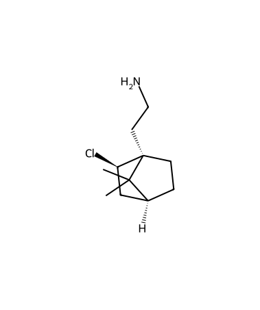 CC1(C)[C@H]2CC[C@]1(CCN)[C@H](Cl)C2